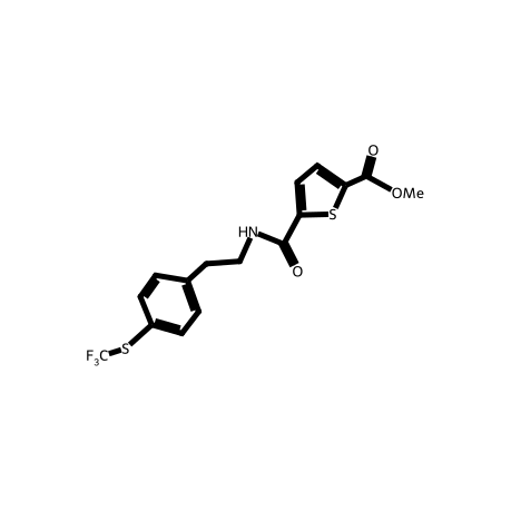 COC(=O)c1ccc(C(=O)NCCc2ccc(SC(F)(F)F)cc2)s1